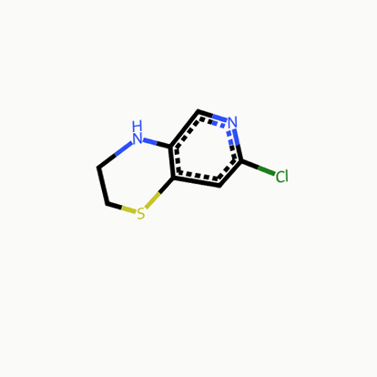 Clc1cc2c(cn1)NCCS2